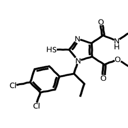 CCC(c1ccc(Cl)c(Cl)c1)n1c(S)nc(C(=O)NC)c1C(=O)OC